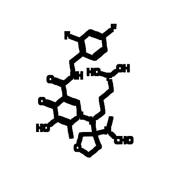 Cc1c(O)c(=O)c(C(=O)NCc2ccc(F)cc2F)cn1N(CCCP(O)O)C1(N(C)C=O)CCOC1